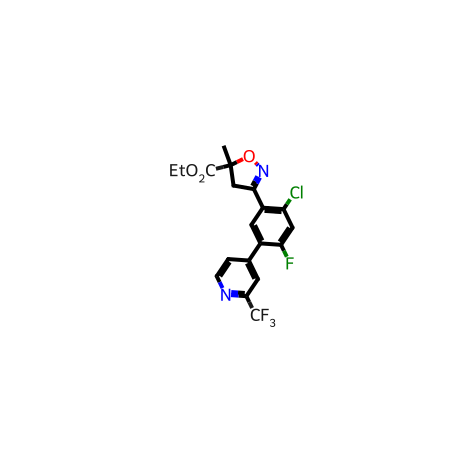 CCOC(=O)C1(C)CC(c2cc(-c3ccnc(C(F)(F)F)c3)c(F)cc2Cl)=NO1